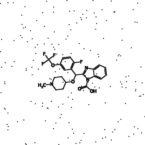 CN1CCC(OC(c2cc(OC(F)(F)F)ccc2F)c2nc3ccccc3n2C(=O)O)CC1